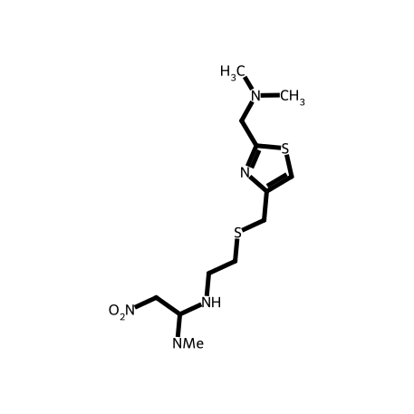 CNC(C[N+](=O)[O-])NCCSCc1csc(CN(C)C)n1